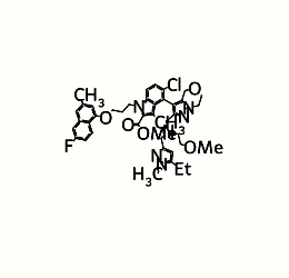 CCc1cc(CN(CCOC)Cc2nn3c(c2-c2c(Cl)ccc4c2c(C)c(C(=O)OC)n4CCCOc2cc(C)cc4cc(F)ccc24)COCC3)nn1C